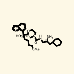 COCCCC[C@@](O)(c1cccc2ccsc12)[C@H]1CN(C(=O)NC[C@@H](N)CC2CCCCC2)CCO1